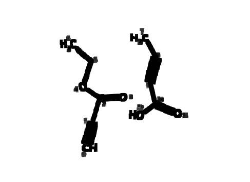 C#CC(=O)OCC.CC#CC(=O)O